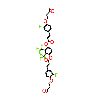 O=C(/C=C/c1ccc(OCCC2CO2)c(F)c1)Oc1ccc(OC(=O)/C=C/c2ccc(OCCC3CO3)c(F)c2)c(C(F)(F)F)c1C(F)(F)F